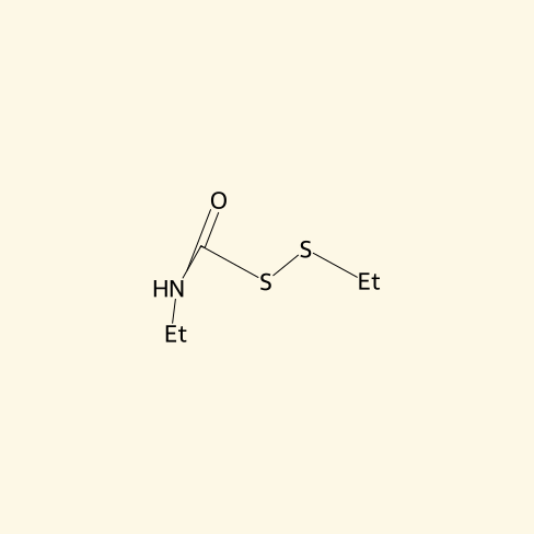 CCNC(=O)SSCC